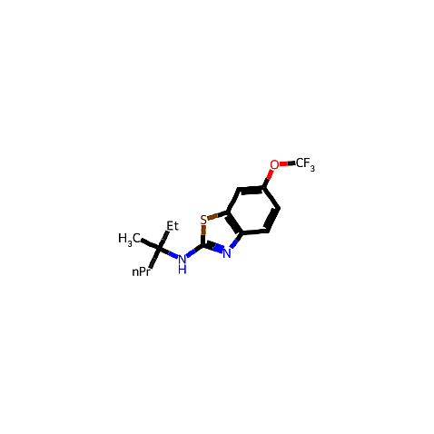 CCCC(C)(CC)Nc1nc2ccc(OC(F)(F)F)cc2s1